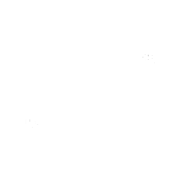 C=CC=CC=CC=C